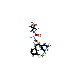 N#Cc1cccc(-c2nc(NC(=O)N3CC4(COC4)C3)sc2-c2cc(Cl)nc(Cl)c2)c1